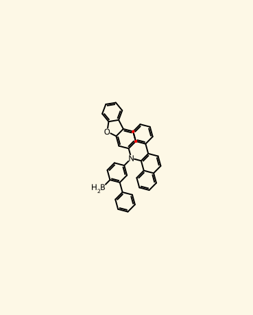 Bc1ccc(N(c2ccc3c(c2)oc2ccccc23)c2c(-c3ccccc3)ccc3ccccc23)cc1-c1ccccc1